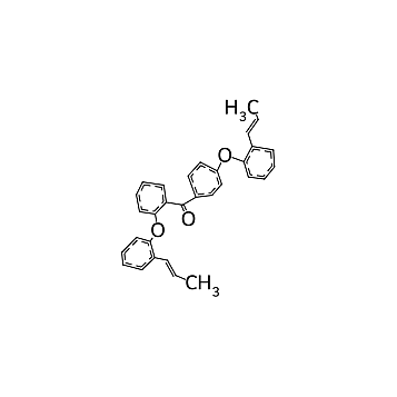 CC=Cc1ccccc1Oc1ccc(C(=O)c2ccccc2Oc2ccccc2C=CC)cc1